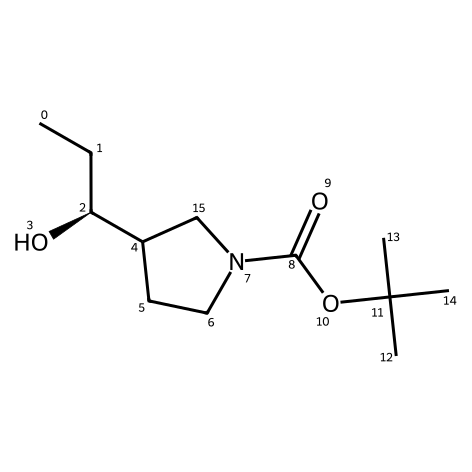 CC[C@H](O)C1CCN(C(=O)OC(C)(C)C)C1